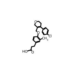 Cc1cc(CCC(=O)O)ccc1OCC1=C(c2ccc(Cl)cc2)CCOC1